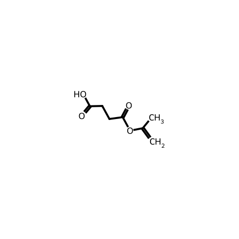 C=C(C)OC(=O)CCC(=O)O